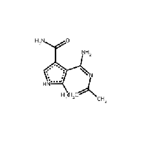 C=C(C)/N=C(/N)c1c(C(N)=O)c[nH]c1C